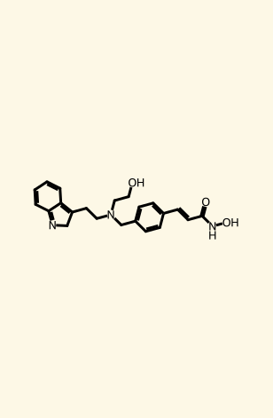 O=C(/C=C/c1ccc(CN(CCO)CCC2=c3ccccc3=NC2)cc1)NO